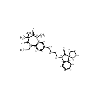 CCN1C(=O)C(C)(C)C(=O)N(C)c2cc(OCCCN3C(=O)C4(OCCO4)c4ccccc43)ccc21